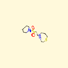 O=S(=O)(CCN1CCCSCC1)N1CC[CH]CC1